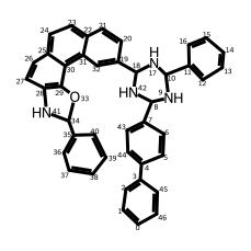 c1ccc(-c2ccc(C3NC(c4ccccc4)NC(c4ccc5ccc6ccc7c(c6c5c4)OC(c4ccccc4)N7)N3)cc2)cc1